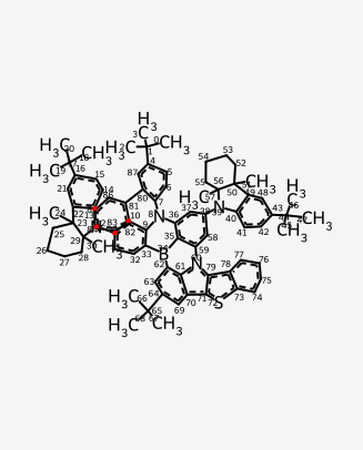 CC(C)(C)c1ccc(N2c3cc(N4c5ccc(C(C)(C)C)cc5C5(C)CCCCC45C)ccc3B3c4c2cc(N2c5ccc(C(C)(C)C)cc5C5(C)CCCCC25C)cc4-n2c4c3cc(C(C)(C)C)cc4c3sc4ccccc4c32)c(-c2ccccc2)c1